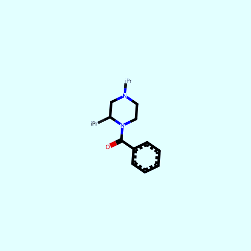 CC(C)C1CN(C(C)C)CCN1C(=O)c1ccccc1